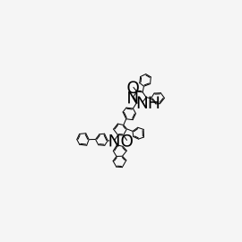 c1ccc(-c2ccc(N(c3ccc4ccccc4c3)c3ccc(-c4ccc(C5=Nc6oc7ccccc7c6C(c6ccccc6)N5)cc4)c4c3oc3ccccc34)cc2)cc1